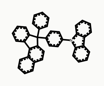 c1ccc(C2(c3ccc(-n4c5ccccc5c5ccccc54)cc3)c3ccccc3-c3c2ccc2ccccc32)cc1